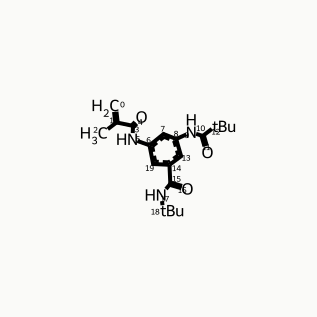 C=C(C)C(=O)Nc1cc(NC(=O)C(C)(C)C)cc(C(=O)NC(C)(C)C)c1